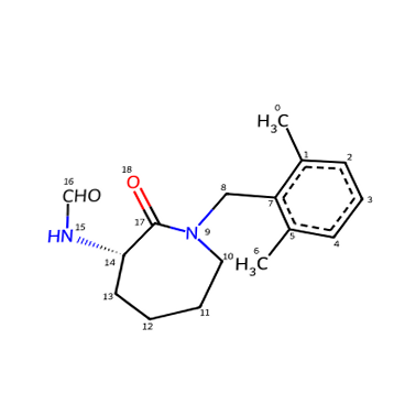 Cc1cccc(C)c1CN1CCCC[C@H](NC=O)C1=O